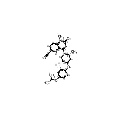 CC(C)Oc1ccc(OC2C[C@@H](C)N(c3nc(=O)n(C)c4ccc(C#N)nc34)C[C@H]2C)nc1